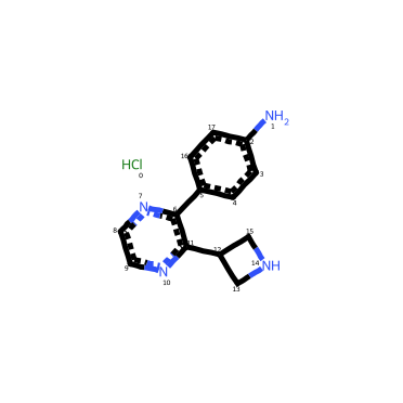 Cl.Nc1ccc(-c2nccnc2C2CNC2)cc1